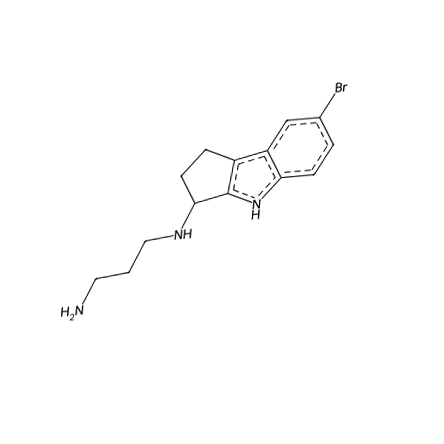 NCCCNC1CCc2c1[nH]c1ccc(Br)cc21